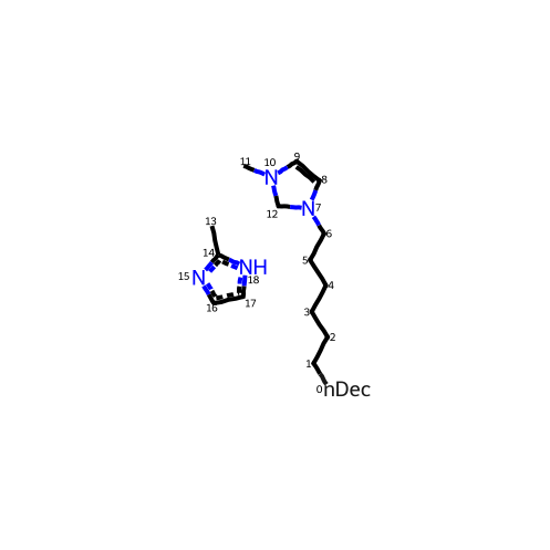 CCCCCCCCCCCCCCCCN1C=CN(C)C1.Cc1ncc[nH]1